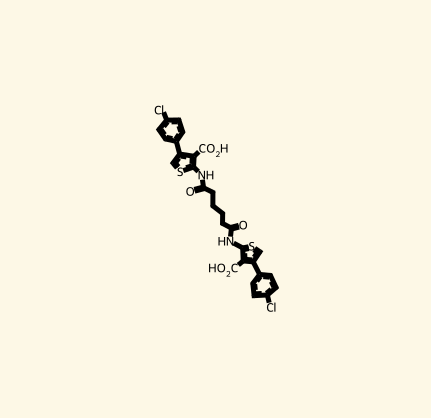 O=C(CCCCC(=O)Nc1scc(-c2ccc(Cl)cc2)c1C(=O)O)Nc1scc(-c2ccc(Cl)cc2)c1C(=O)O